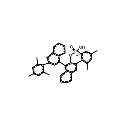 Cc1cc(C)c(-c2cc(-c3c(OP(=O)(O)O)c(-c4c(C)cc(C)cc4C)cc4ccccc34)c3ccccc3c2)c(C)c1